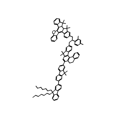 CCCCCCCC1(CCCCCCC)c2ccccc2-c2ccc(-c3ccc4c(c3)C(C)(C)c3cc(-c5cc6c(c7c5CCc5ccccc5-7)-c5ccc(CC(Cc7ccc8c(c7)C(C)(C)C7C8=c8c(oc9ccccc89)=C8c9ccccc9C(C)(C)C87)c7ccc(C)cc7C)cc5C6(C)C)ccc3-4)cc21